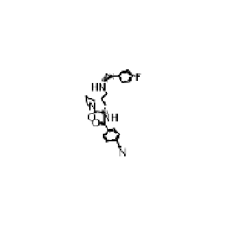 N#Cc1ccc(C(=O)N[C@@H](CCCN[C@@H]2C[C@H]2c2ccc(F)cc2)C(=O)N2CCC2)cc1